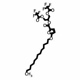 CCCCCCCCCCCCCCOc1ccc(C(=O)OC(COC(=O)C(F)(F)F)COC(=O)C(F)(F)F)o1